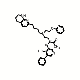 CC(=O)[C@H](CCN(CCCCc1ccc2c(n1)NCCC2)CCOc1ccccn1)Nc1cncc(-c2ccccc2)[n+]1O